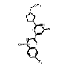 COC[C@H]1CCN(c2nc(C(=O)N[C@@H](c3ccc(C(F)(F)F)cc3)C(C)(C)C)cc(=O)[nH]2)C1